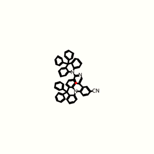 N#Cc1ccc(N2c3ccccc3C(c3ccccc3)(c3ccccc3)c3ccccc32)c(-c2ccc(N3c4ccccc4C(c4ccccc4)(c4ccccc4)c4ccccc43)nc2)c1